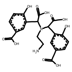 NCCN(C(C(=O)O)c1cc(C(=O)O)ccc1O)C(C(=O)O)c1cc(C(=O)O)ccc1O